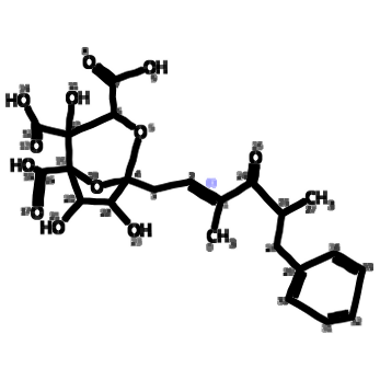 C/C(=C\CC12OC(C(=O)O)C(O)(C(=O)O)C(C(=O)O)(O1)C(O)C2O)C(=O)C(C)Cc1ccccc1